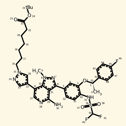 C[C@H](Oc1cc(-c2nn(C)c3c(-c4cnn(CCCCCCC(=O)OC(C)(C)C)c4)cnc(N)c23)ccc1NS(=O)(=O)C(F)F)c1ccc(F)cc1